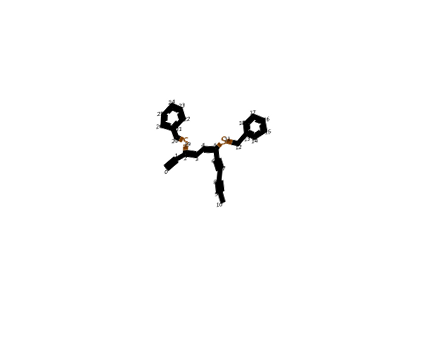 C#CC(=CC=C(C#CC#CC)SCc1ccccc1)SCc1ccccc1